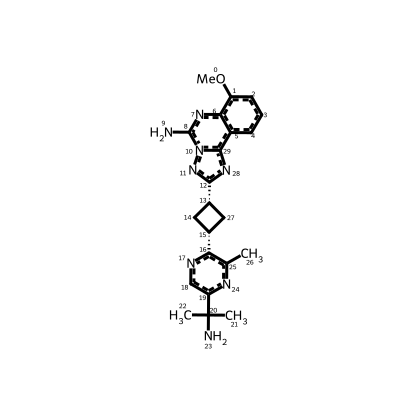 COc1cccc2c1nc(N)n1nc([C@H]3C[C@@H](c4ncc(C(C)(C)N)nc4C)C3)nc21